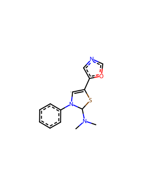 CN(C)C1SC(c2cnco2)=[C]N1c1ccccc1